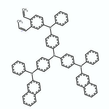 C=Cc1ccc(N(c2ccccc2)c2ccc(N(c3ccc(N(c4ccccc4)c4ccc5ccccc5c4)cc3)c3ccc(N(c4ccccc4)c4ccc5ccccc5c4)cc3)cc2)cc1/C=C\C